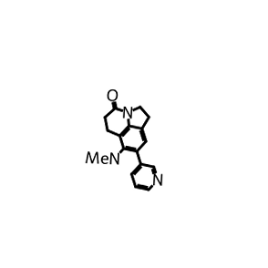 CNc1c(-c2cccnc2)cc2c3c1CCC(=O)N3CC2